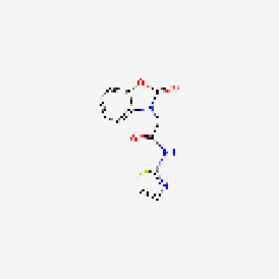 O=C(Cn1c(=O)oc2ccccc21)Nc1nccs1